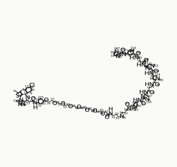 Cc1sc2c(c1C)C(c1ccc(Cl)cc1)=N[C@@H](CC(=O)Nc1ccc(OCCOCCOCCOCCOCCOCCOCCOCC(=O)NCCCN(C)CCCNC(=O)c3cc(NC(=O)c4nc(NC(=O)CCNC(=O)c5cc(NC(=O)c6nc(NC(=O)CCNC(=O)c7cc(NC(=O)c8nccn8C)cn7C)cn6C)cn5C)cn4C)cn3C)cc1)c1nnc(C)n1-2